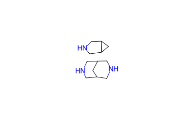 C1NCC2CC12.C1NCC2CNCC1C2